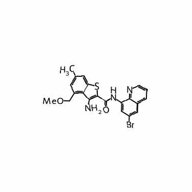 COCc1cc(C)cc2sc(C(=O)Nc3cc(Br)cc4cccnc34)c(N)c12